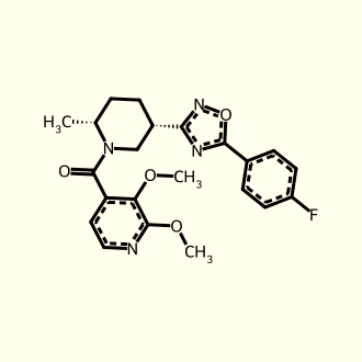 COc1nccc(C(=O)N2C[C@@H](c3noc(-c4ccc(F)cc4)n3)CC[C@H]2C)c1OC